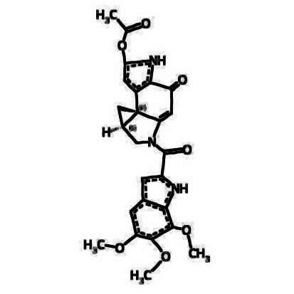 COc1cc2cc(C(=O)N3C[C@H]4C[C@@]45C3=CC(=O)c3[nH]c(OC(C)=O)cc35)[nH]c2c(OC)c1OC